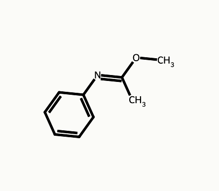 CO/C(C)=N/c1ccccc1